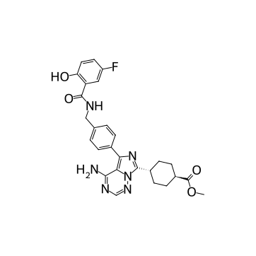 COC(=O)[C@H]1CC[C@H](c2nc(-c3ccc(CNC(=O)c4cc(F)ccc4O)cc3)c3c(N)ncnn32)CC1